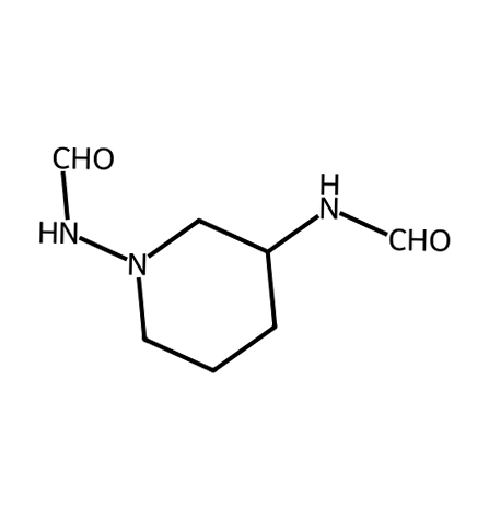 O=CNC1CCCN(NC=O)C1